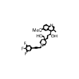 COc1ccc2ncc(C)c([C@H](O)CCC3(CO)CCN(CC#Cc4cc(F)c(F)c(F)c4)CC3)c2c1